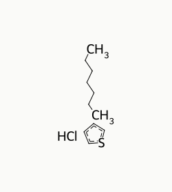 CCCCCCC.Cl.c1ccsc1